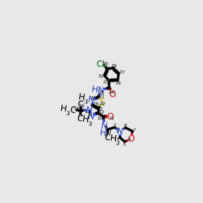 CC(CN1CCOCC1)NC(=O)c1nn(C(C)(C)C)c2nc(NC(=O)c3cccc(Cl)c3)sc12